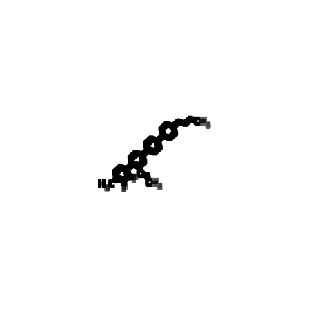 CCCCC1CCC(c2ccc(-c3ccc(-c4ccc(C)c(F)c4F)c(OCC)c3)cc2)CC1